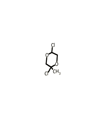 CC1(Cl)COC(Cl)CO1